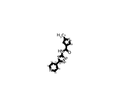 Cc1cc(C(=O)Nc2nnc(-c3ccncc3)s2)cs1